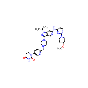 COC1CCN(c2nccc(Nc3cc4c(cn3)c(N3CCN(Cc5ccc(N6CCC(=O)NC6=O)cn5)CC3)nn4C(C)C)n2)CC1